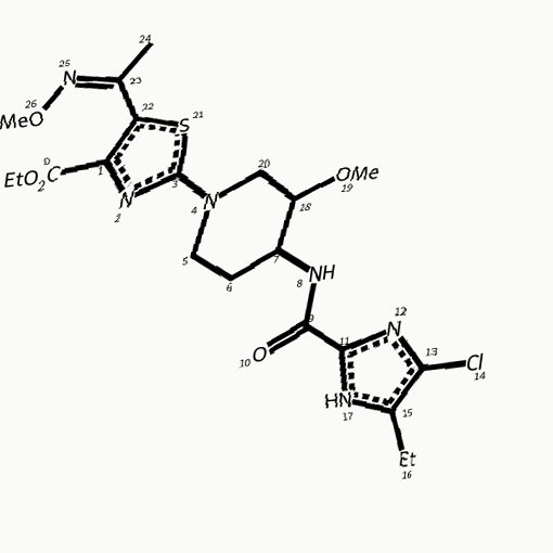 CCOC(=O)c1nc(N2CCC(NC(=O)c3nc(Cl)c(CC)[nH]3)C(OC)C2)sc1/C(C)=N\OC